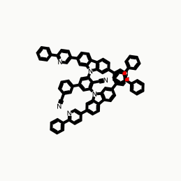 N#Cc1cccc(-c2cc(-n3c4cc(-c5ccc(-c6ccccc6)nc5)ccc4c4ccc(-c5ccc(-c6ccccc6)nc5)cc43)c(C#N)c(-n3c4cc(-c5ccc(-c6ccccc6)nc5)ccc4c4ccc(-c5ccc(-c6ccccc6)nc5)cc43)c2)c1